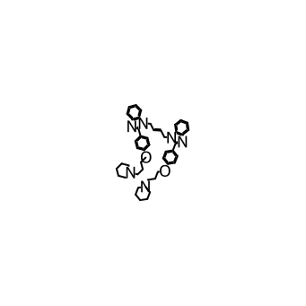 C(=C\Cn1c(-c2ccc(OCCCN3CCCCC3)cc2)nc2ccccc21)/Cn1c(-c2ccc(OCCCN3CCCCC3)cc2)nc2ccccc21